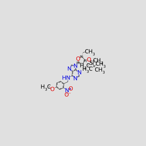 CC[C@H]1O[C@@H](n2cnc3c(NCc4ccc(OC)cc4[N+](=O)[O-])ncnc32)C[C@H]1O[Si](C)(C)C(C)(C)C